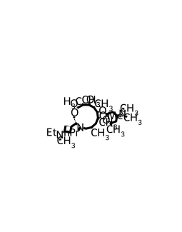 CCCN1C[C@H](C)C[C@@](C)(OC)[C@H](O[C@H]2C[C@@H](N(C)C)C[C@@H](C)O2)[C@@H](C)C(=O)C(C)(C)C(=O)OC[C@H]1[C@H]1C[C@H](N(C)CC)C1